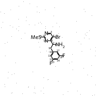 CSc1ncc(Br)c(C(N)Cc2cc(F)cc(F)c2)n1